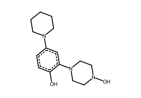 Oc1ccc(N2CCCCC2)cc1N1CCN(O)CC1